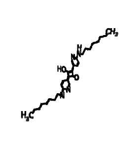 CCCCCCCC/N=C1C=C/C(=C2/C(=O)C(c3ccc(NCCCCCCCC)nc3)=C2O)C=N\1